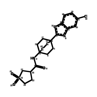 O=C(NC12CCC(c3nc4cc(Cl)ccc4o3)(CC1)CC2)C1CCS(=O)(=O)C1